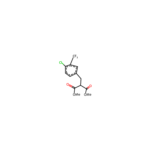 COC(=O)C(Cc1ccc(Cl)c(C(F)(F)F)c1)C(=O)OC